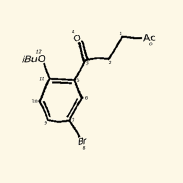 CC(=O)CCC(=O)c1cc(Br)ccc1OCC(C)C